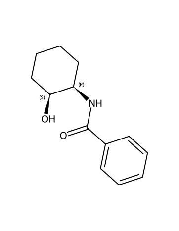 O=C(N[C@@H]1CCCC[C@@H]1O)c1ccccc1